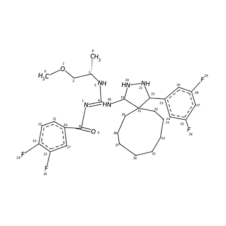 COC[C@H](C)N/C(=N/C(=O)c1ccc(F)c(F)c1)NC1NNC(c2cc(F)cc(F)c2)C12CCCCCCCC2